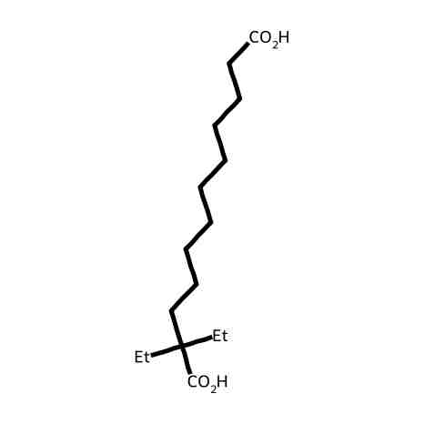 CCC(CC)(CCCCCCCCCC(=O)O)C(=O)O